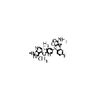 Cc1cc(N(C(=O)C2(C(N)=O)CC2)c2ccc(F)cc2)cnc1Oc1ccnc2[nH]nc(C)c12